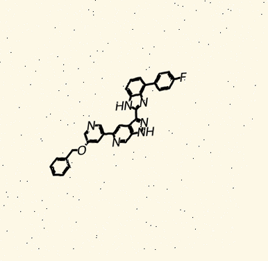 Fc1ccc(-c2cccc3[nH]c(-c4n[nH]c5cnc(-c6cncc(OCc7ccccc7)c6)cc45)nc23)cc1